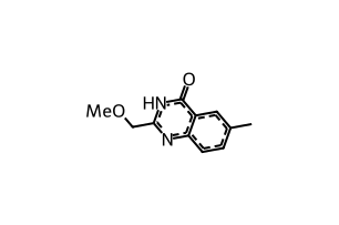 COCc1nc2ccc(C)cc2c(=O)[nH]1